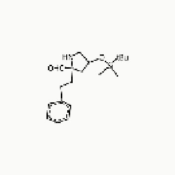 CC(C)(C)[Si](C)(C)OC1CN[C@@](C=O)(CCc2ccccc2)C1